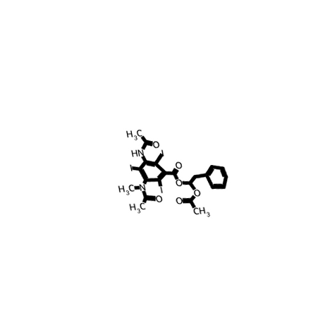 CC(=O)Nc1c(I)c(C(=O)OC(Cc2ccccc2)OC(C)=O)c(I)c(N(C)C(C)=O)c1I